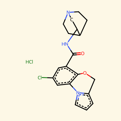 Cl.O=C(NC1CN2CCC1CC2)c1cc(Cl)cc2c1OCc1cccn1-2